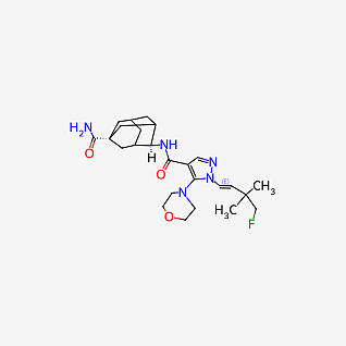 CC(C)(/C=C/n1ncc(C(=O)N[C@H]2C3CC4CC2C[C@](C(N)=O)(C4)C3)c1N1CCOCC1)CF